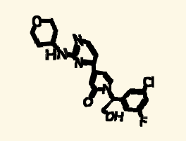 O=c1cc(-c2ccnc(NC3CCOCC3)n2)ccn1[C@H](CO)c1cc(F)cc(Cl)c1